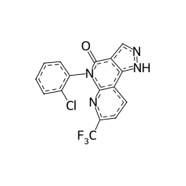 O=c1c2cn[nH]c2c2ccc(C(F)(F)F)nc2n1-c1ccccc1Cl